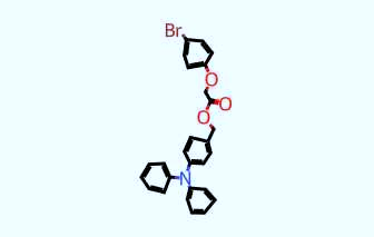 O=C(COc1ccc(Br)cc1)OCc1ccc(N(c2ccccc2)c2ccccc2)cc1